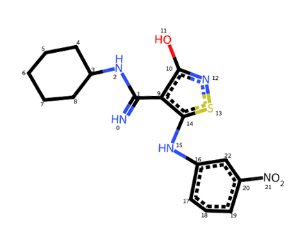 N=C(NC1CCCCC1)c1c(O)nsc1Nc1cccc([N+](=O)[O-])c1